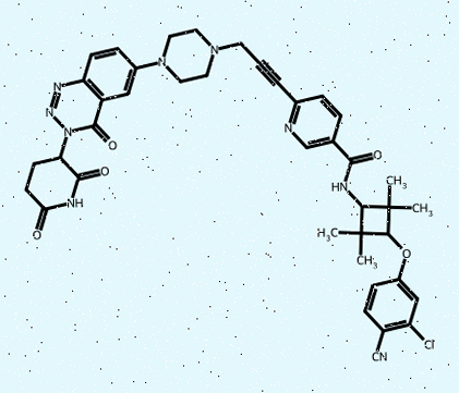 CC1(C)C(NC(=O)c2ccc(C#CCN3CCN(c4ccc5nnn(C6CCC(=O)NC6=O)c(=O)c5c4)CC3)nc2)C(C)(C)C1Oc1ccc(C#N)c(Cl)c1